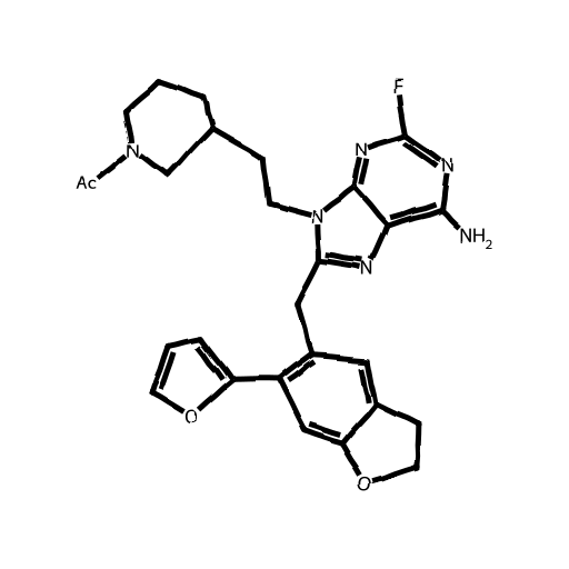 CC(=O)N1CCCC(CCn2c(Cc3cc4c(cc3-c3ccco3)OCC4)nc3c(N)nc(F)nc32)C1